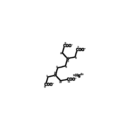 O=C([O-])CN(CCN(CC(=O)[O-])CC(=O)[O-])CC(=O)[O-].[Hg+4]